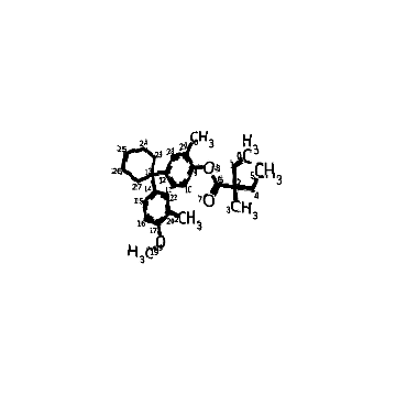 CCC(C)(CC)C(=O)Oc1ccc(C2(c3ccc(OC)c(C)c3)CCCCC2)cc1C